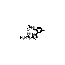 CC(=O)NCc1ccc(C)cc1-c1csc(N=C(N)N)n1